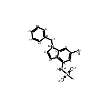 CS(=O)(=O)Nc1cc(Br)cc2c1ccn2Cc1ccccc1